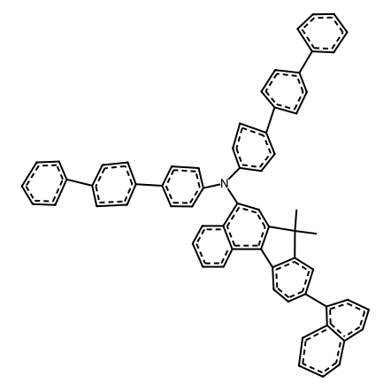 CC1(C)c2cc(-c3cccc4ccccc34)ccc2-c2c1cc(N(c1ccc(-c3ccc(-c4ccccc4)cc3)cc1)c1ccc(-c3ccc(-c4ccccc4)cc3)cc1)c1ccccc21